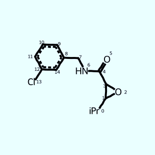 CC(C)C1OC1C(=O)NCc1cccc(Cl)c1